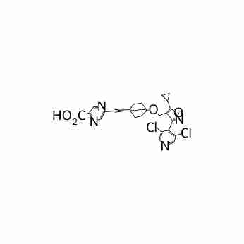 O=C(O)c1cnc(C#CC23CCC(OCc4c(-c5c(Cl)cncc5Cl)noc4C4CC4)(CC2)CC3)cn1